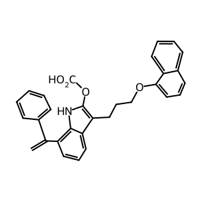 C=C(c1ccccc1)c1cccc2c(CCCOc3cccc4ccccc34)c(OC(=O)O)[nH]c12